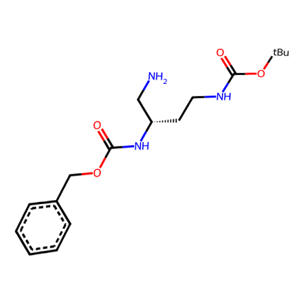 CC(C)(C)OC(=O)NCC[C@@H](CN)NC(=O)OCc1ccccc1